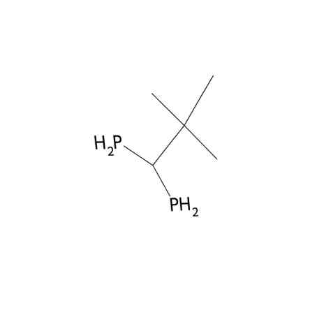 CC(C)(C)C(P)P